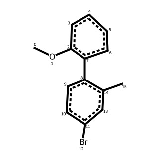 COc1ccccc1-c1ccc(Br)cc1C